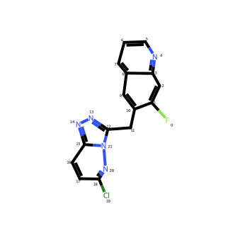 Fc1cc2ncccc2cc1Cc1nnc2ccc(Cl)nn12